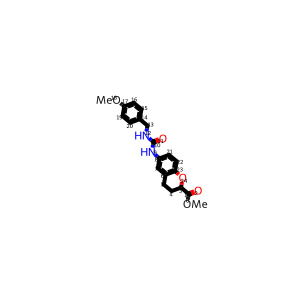 COC(=O)C1CCc2cc(NC(=O)NCc3ccc(OC)cc3)ccc2O1